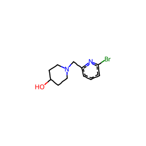 OC1CCN(Cc2cccc(Br)n2)CC1